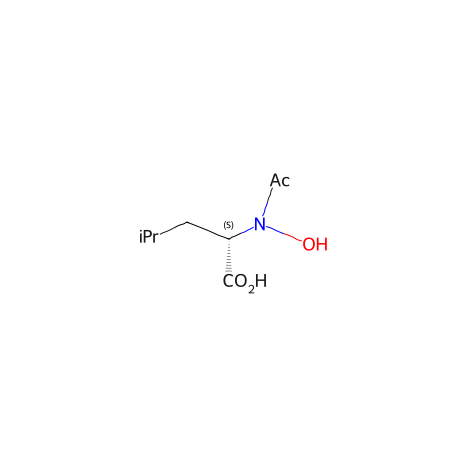 CC(=O)N(O)[C@@H](CC(C)C)C(=O)O